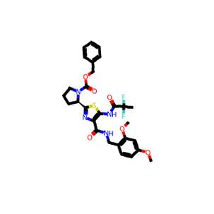 COc1ccc(CNC(=O)c2nc([C@H]3CCCN3C(=O)OCc3ccccc3)sc2NC(=O)C(C)(F)F)c(OC)c1